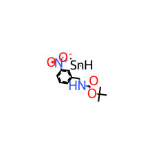 [CH3][SnH]([CH3])[c]1c(CNC(=O)OC(C)(C)C)cccc1[N+](=O)[O-]